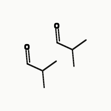 CC(C)C=O.CC(C)C=O